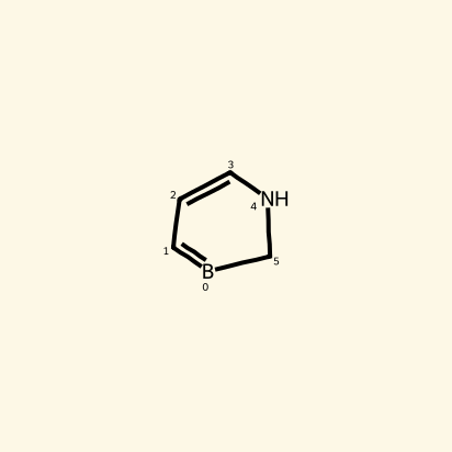 B1=CC=CNC1